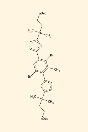 CCCCCCCCCCCC[Si](C)(C)c1ccc(-c2cc(Br)c(-c3ccc([Si](C)(C)CCCCCCCCCCCC)s3)c(C)c2Br)s1